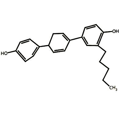 CCCCCc1cc(C2=CCC(c3ccc(O)cc3)C=C2)ccc1O